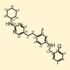 Cc1cc(NSc2ccccc2Cl)ccc1CCc1cnc(NC2CCCCC2)nc1